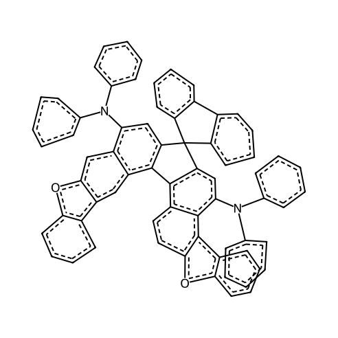 c1ccc(N(c2ccccc2)c2cc3c(c4cc5c(cc24)oc2ccccc25)-c2c(cc(N(c4ccccc4)c4ccccc4)c4c2ccc2oc5ccccc5c24)C32c3ccccc3-c3ccccc32)cc1